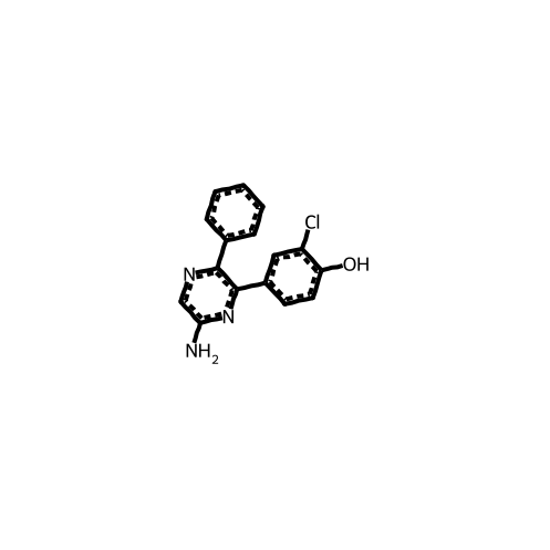 Nc1cnc(-c2ccccc2)c(-c2ccc(O)c(Cl)c2)n1